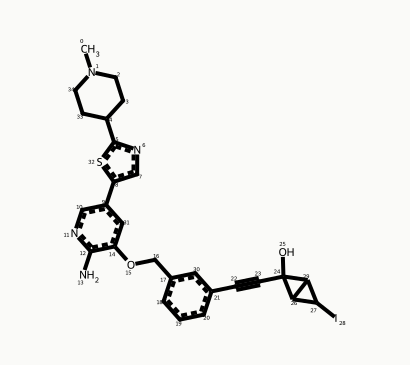 CN1CCC(c2ncc(-c3cnc(N)c(OCc4cccc(C#CC5(O)C6C(I)C65)c4)c3)s2)CC1